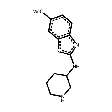 COc1ccc2nc(NC3CCCNC3)sc2c1